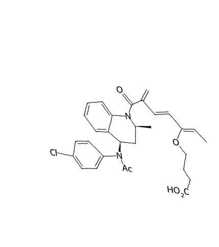 C=C(C=CC(=CC)OCCCC(=O)O)C(=O)N1c2ccccc2[C@H](N(C(C)=O)c2ccc(Cl)cc2)C[C@@H]1C